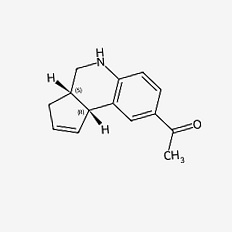 CC(=O)c1ccc2c(c1)[C@@H]1C=CC[C@@H]1CN2